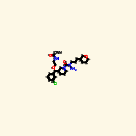 COC(=O)NCCO[C@@H](c1cccc(Cl)c1)C1CCCN(C(=O)N(N)CCCC2CCCOC2)C1